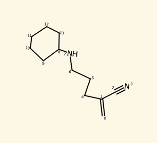 C=C(C#N)CCCNC1CCCCC1